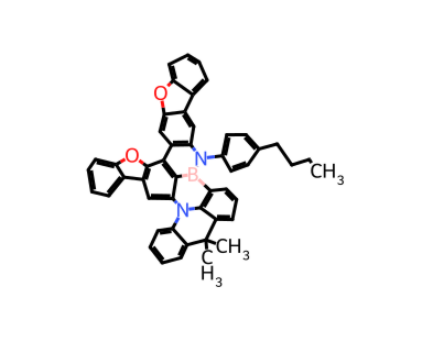 CCCCc1ccc(N2B3c4cccc5c4N(c4ccccc4C5(C)C)c4cc5c(oc6ccccc65)c(c43)-c3cc4oc5ccccc5c4cc32)cc1